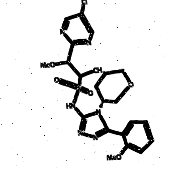 COc1ccccc1-c1nnc(NS(=O)(=O)C(C)C(OC)c2ncc(Cl)cn2)n1[C@@H]1CCCOC1